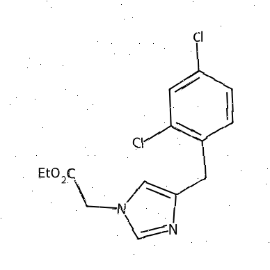 CCOC(=O)Cn1cnc(Cc2ccc(Cl)cc2Cl)c1